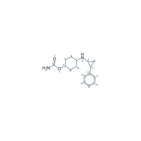 NC(=O)OC1CCC(NC2CC2c2ccccc2)CC1